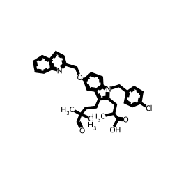 CC(Cc1c(CCC(C)(C)C=O)c2cc(OCc3ccc4ccccc4n3)ccc2n1Cc1ccc(Cl)cc1)C(=O)O